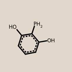 Oc1cccc(O)c1P